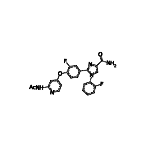 CC(=O)Nc1cc(Oc2ccc(-c3nc(C(N)=O)cn3-c3ccccc3F)cc2F)ccn1